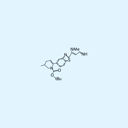 CN/C(=C\C=N)c1nc2cc(C3=CCC(C)CN3C(=O)OC(C)(C)C)ccc2s1